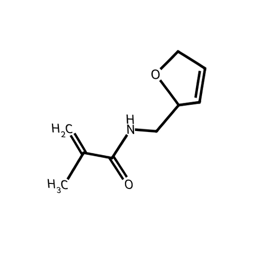 C=C(C)C(=O)NCC1C=CCO1